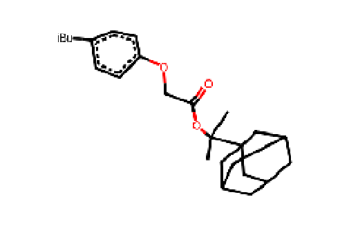 CCC(C)c1ccc(OCC(=O)OC(C)(C)C23CC4CC(CC(C4)C2)C3)cc1